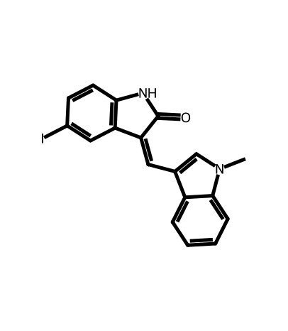 Cn1cc(C=C2C(=O)Nc3ccc(I)cc32)c2ccccc21